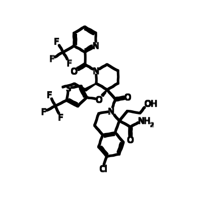 CCC[C@H]1N(C(=O)c2ncccc2C(F)(F)F)CCC[C@]1(Oc1csc(C(F)(F)F)c1)C(=O)N1CCc2cc(Cl)ccc2C1(CCO)C(N)=O